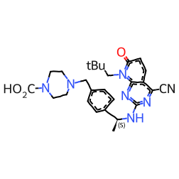 C[C@H](Nc1nc(C#N)c2ccc(=O)n(CC(C)(C)C)c2n1)c1ccc(CN2CCN(C(=O)O)CC2)cc1